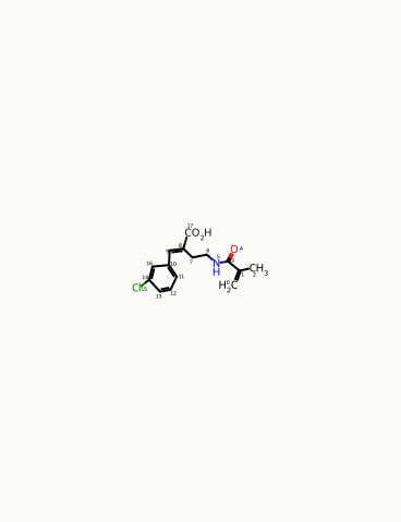 C=C(C)C(=O)NCC/C(=C\c1cccc(Cl)c1)C(=O)O